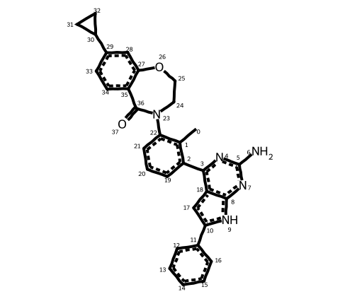 Cc1c(-c2nc(N)nc3[nH]c(-c4ccccc4)cc23)cccc1N1CCOc2cc(C3CC3)ccc2C1=O